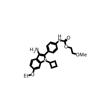 CCOc1ccc2c(N)c(-c3ccc(NC(=O)OCCOC)cc3)n(C3CCC3)c2c1